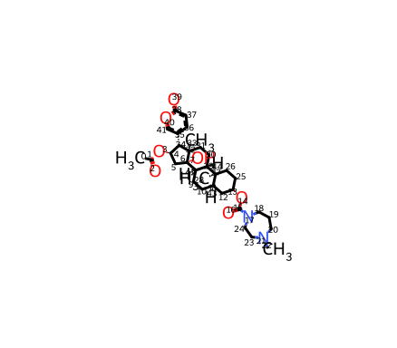 CC(=O)O[C@H]1C[C@]2(O)[C@@H]3CC[C@@H]4C[C@@H](OC(=O)N5CCCN(C)CC5)CC[C@]4(C)[C@H]3CC[C@]2(C)[C@H]1c1ccc(=O)oc1